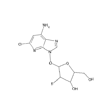 Nc1cc(Cl)nc2c1ncn2OC1OC(CO)C(O)C1F